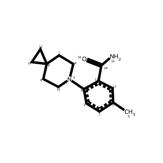 Cc1ccc(N2CCC3(CC2)CC3)c(C(N)=O)c1